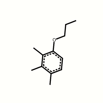 CCCOc1ccc(C)c(C)c1C